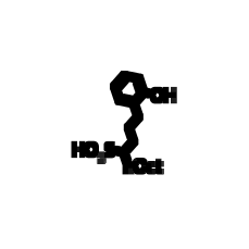 CCCCCCCCC(CCCc1ccccc1O)S(=O)(=O)O